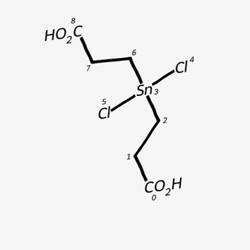 O=C(O)C[CH2][Sn]([Cl])([Cl])[CH2]CC(=O)O